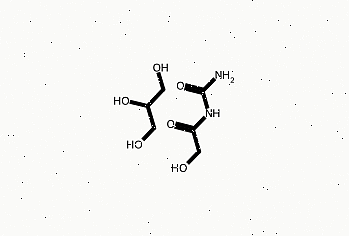 NC(=O)NC(=O)CO.OCC(O)CO